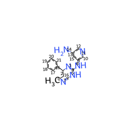 CCC(N=C(NC#N)Nc1cncc(N)c1)c1ccccc1